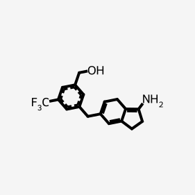 NC1=C2CC=C(Cc3cc(CO)cc(C(F)(F)F)c3)C=C2CC1